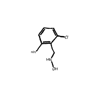 CCCc1cccc(Cl)c1CNO